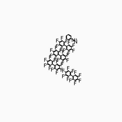 Fc1c(F)c(F)c(-c2c(F)c(F)c(F)c(F)c2F)c(F)c1F.Fc1c(F)c(F)c(-c2c(F)c(F)c(F)c(F)c2F)c(F)c1F.Fc1c(F)c(F)c(-c2c(F)c(F)c(F)c(F)c2F)c(F)c1F.Fc1c(F)c(F)c(-c2c(F)c(F)c(F)c(F)c2F)c(F)c1F.N#[N+]c1ccccc1